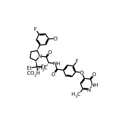 CCC(CC)(C(=O)O)[C@H]1CC[C@@H](c2cc(F)cc(Cl)c2)N1C(=O)[C@@H](C)NC(=O)c1ccc(Oc2cc(C)n[nH]c2=O)c(F)c1